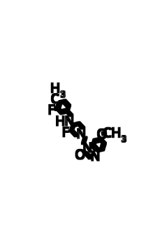 COc1ccc2ncc(=O)n(CCN3CC[C@H](NCc4ccc(C)c(F)c4)[C@H](F)C3)c2c1